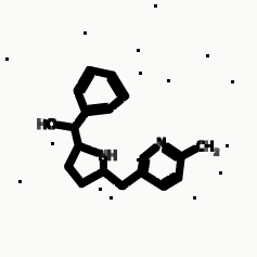 Cc1ccc(CC2CCC(C(O)c3ccccc3)N2)cn1